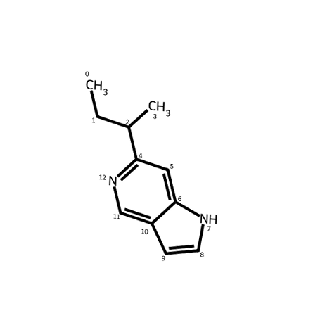 CCC(C)c1cc2[nH]ccc2cn1